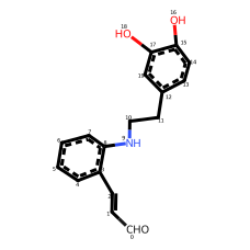 O=CC=Cc1ccccc1NCCc1ccc(O)c(O)c1